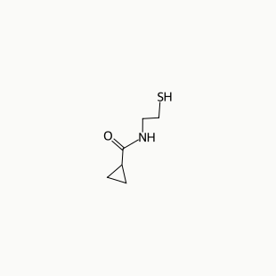 O=C(NCCS)C1CC1